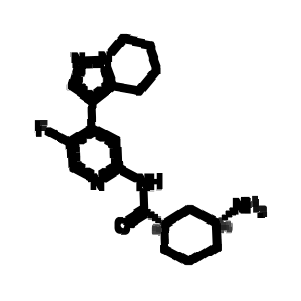 N[C@@H]1CCC[C@H](C(=O)Nc2cc(-c3cnn4c3CCCC4)c(F)cn2)C1